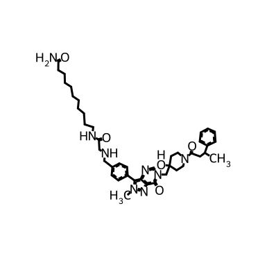 CC(CC(=O)N1CCC(O)(Cn2cnc3c(-c4ccc(CNCC(=O)NCCCCCCCCCCC(N)=O)cc4)n(C)nc3c2=O)CC1)c1ccccc1